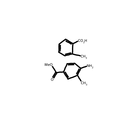 COC(=O)c1ccc(N)c(C)c1.Cc1ccccc1C(=O)O